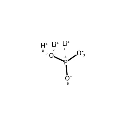 [H+].[Li+].[Li+].[O-]P([O-])[O-]